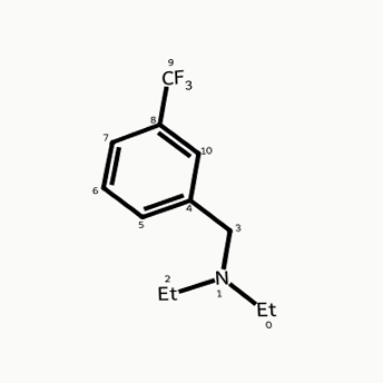 CCN(CC)Cc1cccc(C(F)(F)F)c1